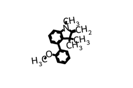 C=C1N(C)c2cccc(-c3ccccc3OC)c2C1(C)C